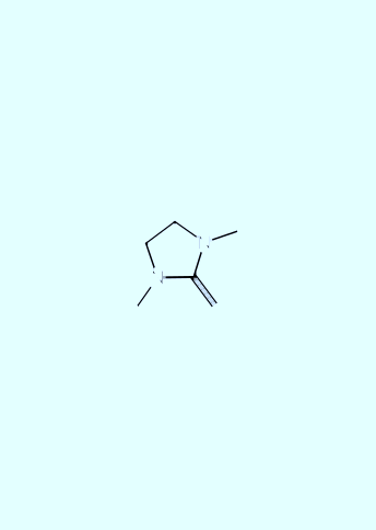 C=C1N(C)CCN1C